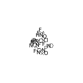 CC(C)n1cnc2cc(-c3cc4c(nc3F)C(C)(C)C(=O)N4[C@H]3C[C@@](C)(N4CCCCC4)C3)nc(Nc3cc(C(=O)NC4(C(F)F)CC4)c(Cl)c(F)c3F)c21